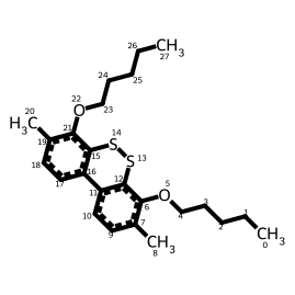 CCCCCOc1c(C)ccc2c1SSc1c-2ccc(C)c1OCCCCC